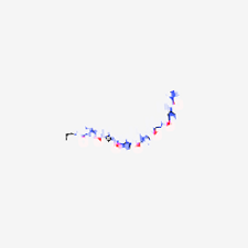 CC(C)CCNC(=O)c1nc(NC(=O)[C@H]2C[C@H](NC(=O)c3cc(NC(=O)c4nc(NC(=O)CCNC(=O)c5cc(NC(=O)c6nccn6C)cn5C)cn4C)cn3C)C2)cn1C